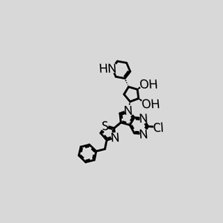 O[C@@H]1[C@H](O)[C@@H](C2=CCCNC2)C[C@H]1n1cc(-c2nc(Cc3ccccc3)cs2)c2cnc(Cl)nc21